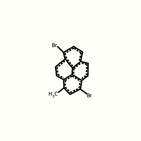 Cc1cc(Br)c2ccc3ccc(Br)c4ccc1c2c34